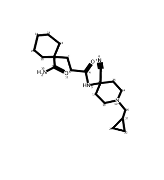 N#CC1(NC(=O)[CH]CC2(C(N)=O)CCCCC2)CCN(CC2CC2)CC1